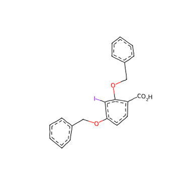 O=C(O)c1ccc(OCc2ccccc2)c(I)c1OCc1ccccc1